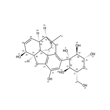 CN1CC[C@]23c4c5c([C@]6(O)[C@H](O)[C@@H](CO)O[C@@H](O)[C@@H]6O)cc(O)c4O[C@H]2[C@@H](O)C=C[C@H]3[C@H]1C5